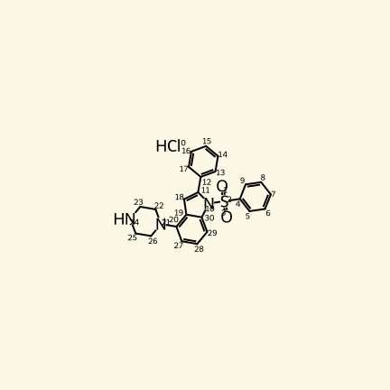 Cl.O=S(=O)(c1ccccc1)n1c(-c2ccccc2)cc2c(N3CCNCC3)cccc21